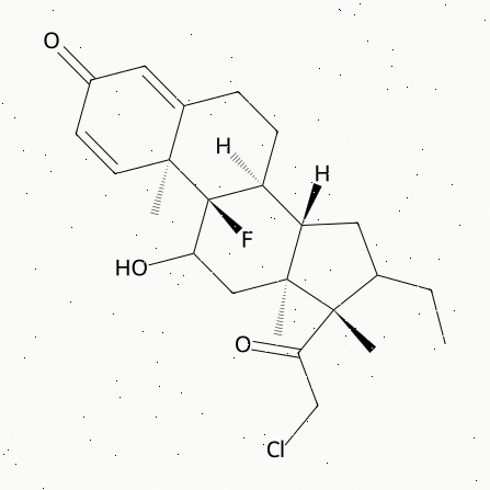 CCC1C[C@H]2[C@@H]3CCC4=CC(=O)C=C[C@]4(C)[C@@]3(F)C(O)C[C@]2(C)[C@@]1(C)C(=O)CCl